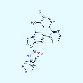 Cc1cc(-c2ncccc2-c2ccn3ncc(C(=O)N[C@H]4CN5CCC4CC5)c3c2)ccc1F